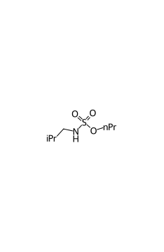 CCCOS(=O)(=O)NCC(C)C